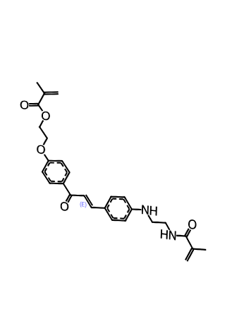 C=C(C)C(=O)NCCNc1ccc(/C=C/C(=O)c2ccc(OCCOC(=O)C(=C)C)cc2)cc1